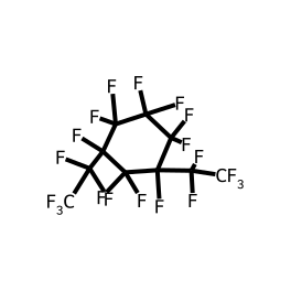 FC(F)(F)C(F)(F)C1(F)C(F)(F)C(F)(F)C(F)(F)C(F)(C(F)(F)C(F)(F)F)C1(F)F